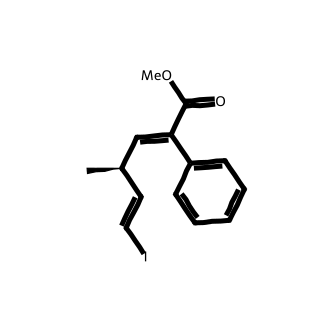 COC(=O)/C(=C/[C@H](C)/C=C/I)c1ccccc1